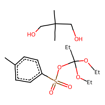 CC(C)(CO)CO.CCOC(CC)(OCC)OS(=O)(=O)c1ccc(C)cc1